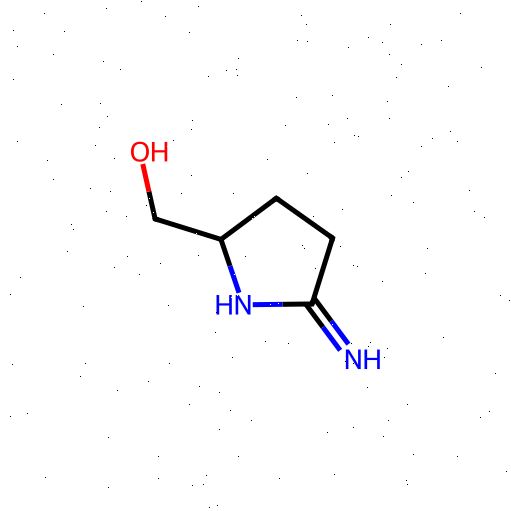 N=C1CCC(CO)N1